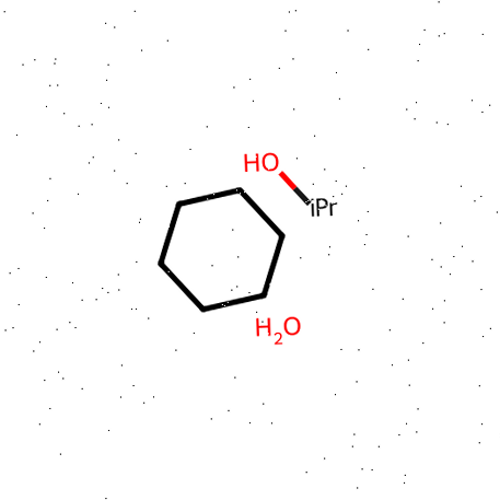 C1CCCCC1.CC(C)O.O